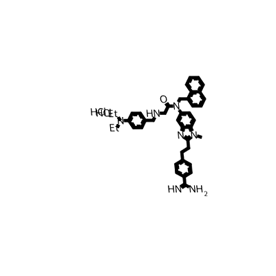 CCN(CC)c1ccc(CNCC(=O)N(Cc2cccc3ccccc23)c2ccc3c(c2)nc(CCc2ccc(C(=N)N)cc2)n3C)cc1.Cl.Cl